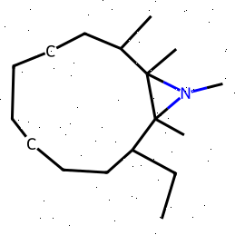 CCC1CCCCCCCC(C)C2(C)N(C)C12C